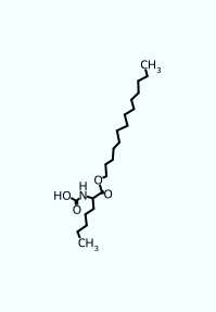 CCCCCCCCCCCCCCOC(=O)C(CCCCC)NC(=O)O